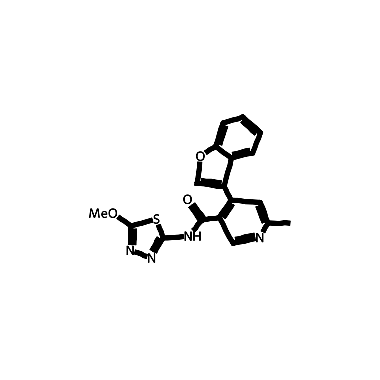 COc1nnc(NC(=O)c2cnc(C)cc2-c2coc3ccccc23)s1